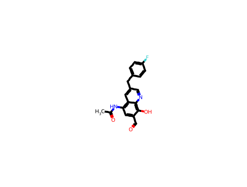 CC(=O)Nc1cc(C=O)c(O)c2ncc(Cc3ccc(F)cc3)cc12